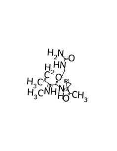 C=C(C)[C@H](NC)C(=O)N[C@@]1(C(C)=O)C[C@H]1CCNC(N)=O